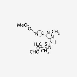 COCOCCN1CCN(c2cc(Nc3ncc(C(C)(C)OC=O)s3)nc(C)n2)CC1